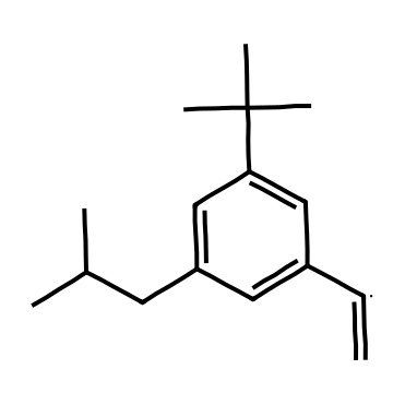 C=[C]c1cc(CC(C)C)cc(C(C)(C)C)c1